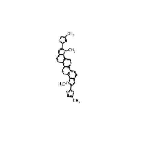 Cc1csc(-c2cc3ccc4c5ccc6c(ccc7cc(-c8cc(C)cs8)n(C)c76)c5ccc4c3n2C)c1